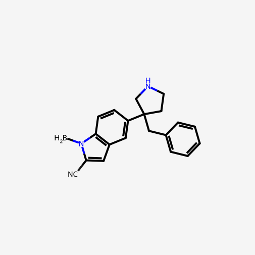 Bn1c(C#N)cc2cc(C3(Cc4ccccc4)CCNC3)ccc21